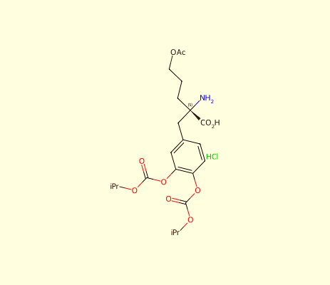 CC(=O)OCCC[C@](N)(Cc1ccc(OC(=O)OC(C)C)c(OC(=O)OC(C)C)c1)C(=O)O.Cl